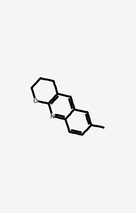 Cc1ccc2nc3c(cc2c1)CCCO3